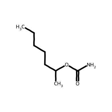 CCCCCC(C)OC(N)=O